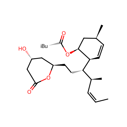 C/C=C\[C@H](C)[C@H](CC[C@@H]1C[C@@H](O)CC(=O)O1)[C@@H]1C=C[C@H](C)C[C@@H]1OC(=O)[C@@H](C)CC